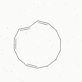 [CH]1C/C=C\C\C=C/C=C/C=C\CCC1